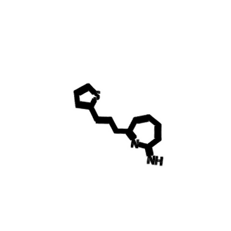 N=c1ccccc(CC=Cc2cccs2)n1